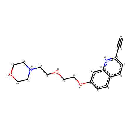 C#Cc1ccc2ccc(OCCOCCN3CCOCC3)cc2n1